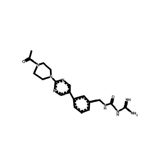 CC(=O)N1CCN(c2ncc(-c3cccc(CNC(=O)NC(=N)N)c3)cn2)CC1